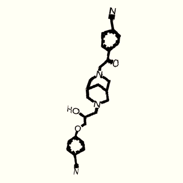 N#Cc1ccc(OCC(O)CN2CC3CC(CN(CC(=O)c4ccc(C#N)cc4)C3)C2)cc1